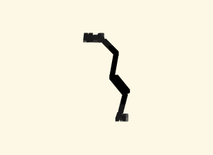 CSCC=CC(C)=O